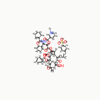 CC(=O)O[C@H]1C(=O)C2(C)C([C@H](OC(=O)c3ccccc3)[C@]3(O)C[C@H](OC(=O)[C@H](OC(=O)c4ccc[n+](C)c4)[C@H](NC(=O)c4ccccc4)c4ccccc4)C(C)=C1C3(C)C)[C@]1(OC(C)=O)CO[C@@H]1C[C@@H]2O.Cc1ccc(S(=O)(=O)[O-])cc1